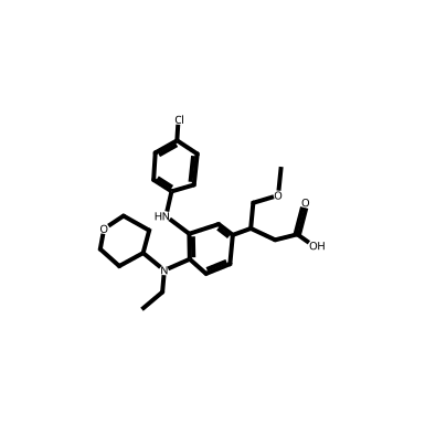 CCN(c1ccc(C(COC)CC(=O)O)cc1Nc1ccc(Cl)cc1)C1CCOCC1